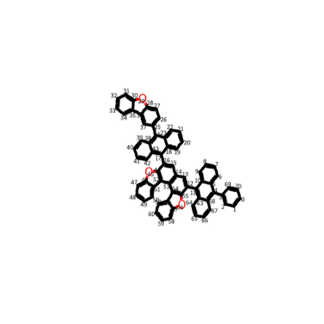 c1ccc(-c2c3ccccc3c(-c3cc4cc(-c5c6ccccc6c(-c6ccc7oc8ccccc8c7c6)c6ccccc56)c5oc6ccccc6c5c4c4c3oc3ccccc34)c3ccccc23)cc1